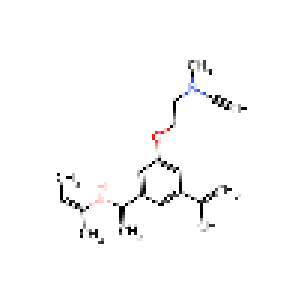 C#CN(C)CCOc1cc(C(=C)C)cc(C(=C)B/C(C)=C\C)c1